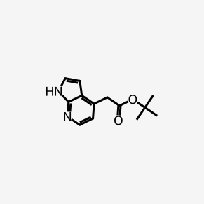 CC(C)(C)OC(=O)Cc1ccnc2[nH]ccc12